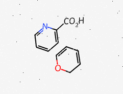 C1=CCOC=C1.O=C(O)c1ccccn1